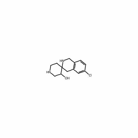 OC1CNCCC12Cc1cc(Cl)ccc1CN2